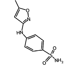 Cc1cc(Nc2ccc(S(N)(=O)=O)cc2)no1